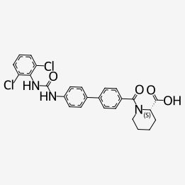 O=C(Nc1ccc(-c2ccc(C(=O)N3CCCC[C@H]3C(=O)O)cc2)cc1)Nc1c(Cl)cccc1Cl